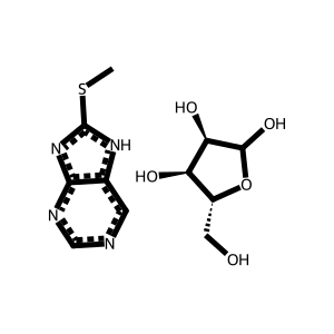 CSc1nc2ncncc2[nH]1.OC[C@H]1OC(O)[C@H](O)[C@@H]1O